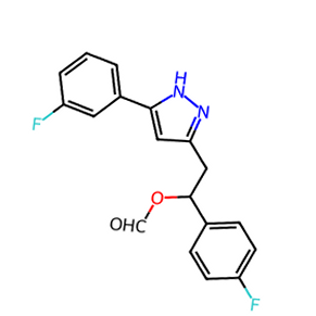 O=COC(Cc1cc(-c2cccc(F)c2)[nH]n1)c1ccc(F)cc1